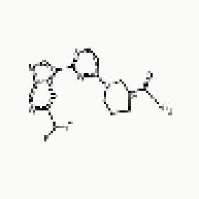 NC(=O)[C@H]1CCCN(c2ccnc(-c3cnc4cnc(C(F)F)cn34)n2)C1